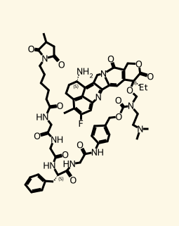 CC[C@@]1(OCN(CCN(C)C)C(=O)OCc2ccc(NC(=O)CNC(=O)[C@H](Cc3ccccc3)NC(=O)CNC(=O)CNC(=O)CCCCCN3C(=O)CC(C)C3=O)cc2)C(=O)OCc2c1cc1n(c2=O)Cc2c-1nc1cc(F)c(C)c3c1c2[C@@H](N)CC3